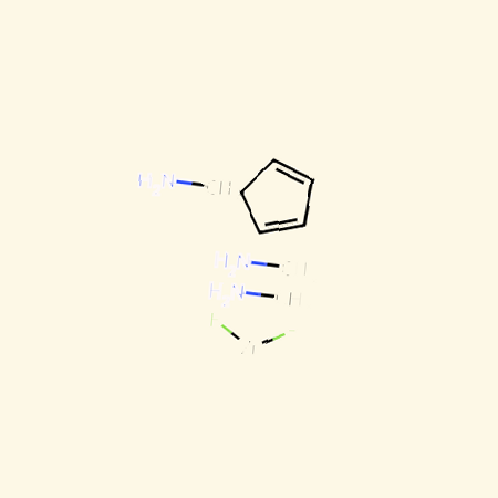 CN.CN.CN.[CH]1C=CC=C1.[F][Zr][F]